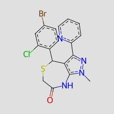 Cn1nc(-c2ccccn2)c2c1NC(=O)CSC2c1ccc(Br)cc1Cl